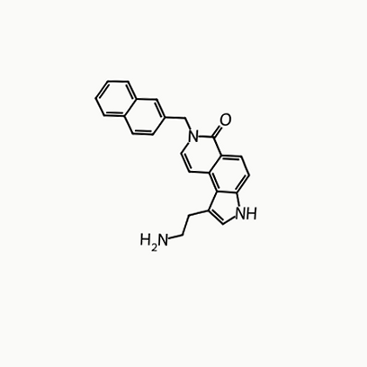 NCCc1c[nH]c2ccc3c(=O)n(Cc4ccc5ccccc5c4)ccc3c12